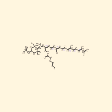 CCCCCC(=O)OC\C(C=C=C1C(C)(C)CC(OC(C)=O)CC1(C)O)=C/C=C/C(C)=C/C=C/C=C(C)/C=C/C=C(\C)C(C)=O